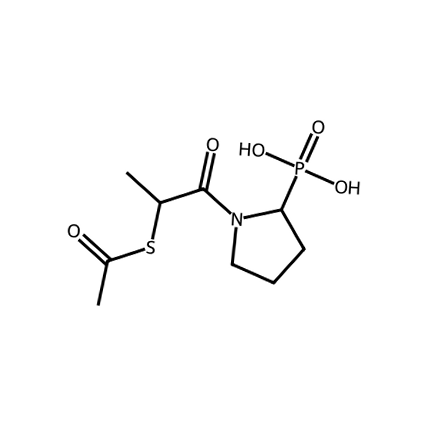 CC(=O)SC(C)C(=O)N1CCCC1P(=O)(O)O